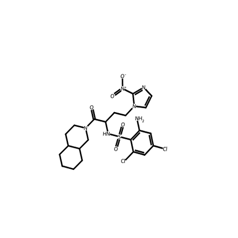 Nc1cc(Cl)cc(Cl)c1S(=O)(=O)NC(CCn1ccnc1[N+](=O)[O-])C(=O)N1CCC2CCCCC2C1